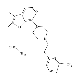 Cc1oc2c(N3CCN(CCc4cccc(C(F)(F)F)n4)CC3)cccc2c1C.NC=O